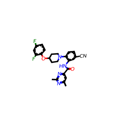 Cc1cc(C(=O)Nc2cc(C#N)ccc2N2CCC(Oc3ccc(F)cc3F)CC2)nc(C)n1